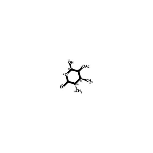 CCC1O[C@@H](O)C(OC(C)=O)[C@@H](C)[C@@H]1C